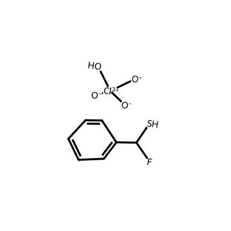 FC(S)c1ccccc1.[O-][Cl+3]([O-])([O-])O